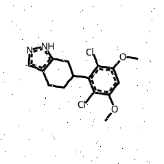 COc1cc(OC)c(Cl)c(C2CCc3[c]n[nH]c3C2)c1Cl